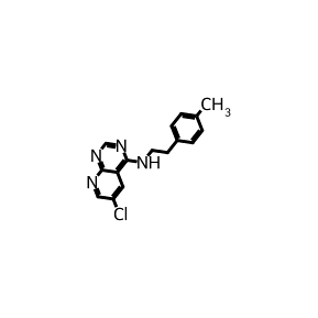 Cc1ccc(CCNc2ncnc3ncc(Cl)cc23)cc1